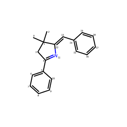 CC1(C)CC(c2ccccc2)=NC1=Cc1ccccc1